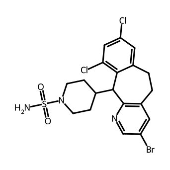 NS(=O)(=O)N1CCC(C2c3ncc(Br)cc3CCc3cc(Cl)cc(Cl)c32)CC1